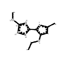 CCOc1cc(C)sc1-c1nnc(OC)o1